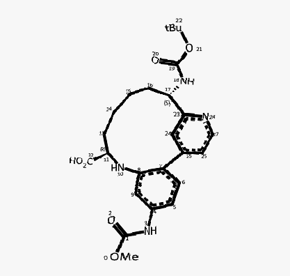 COC(=O)Nc1ccc2c(c1)N[C@@H](C(=O)O)CCCC[C@H](NC(=O)OC(C)(C)C)c1cc-2ccn1